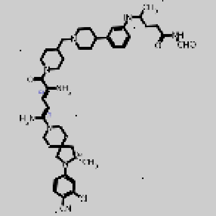 CC(CCC(=O)NC=O)Nc1cccc(C2CCN(CC3CCN(C(=O)/C(N)=C/C=C(\N)N4CCC5(CC4)C[C@H](C)N(c4ccc(C#N)c(Cl)c4)C5)CC3)CC2)c1